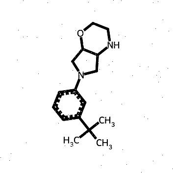 CC(C)(C)c1cccc(N2CC3NCCOC3C2)c1